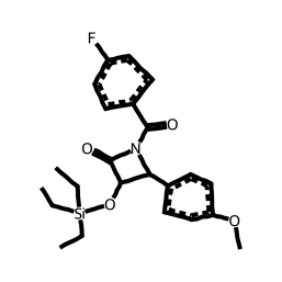 CC[Si](CC)(CC)OC1C(=O)N(C(=O)c2ccc(F)cc2)C1c1ccc(OC)cc1